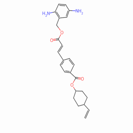 C=CC1CCC(OC(=O)c2ccc(/C=C/C(=O)OCc3cc(N)ccc3N)cc2)CC1